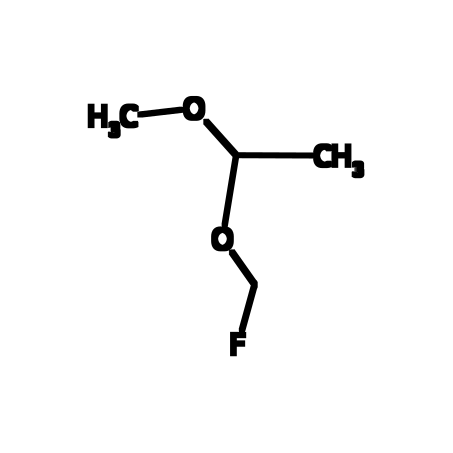 COC(C)OCF